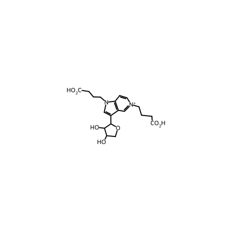 O=C(O)CCCn1cc(C2OCC(O)C2O)c2c[n+](CCCC(=O)O)ccc21